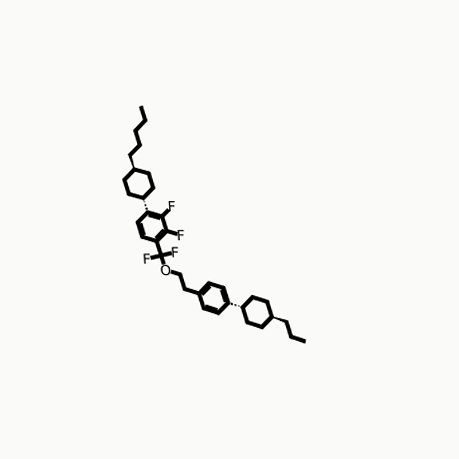 CCCCC[C@H]1CC[C@H](c2ccc(C(F)(F)OCCc3ccc([C@H]4CC[C@H](CCC)CC4)cc3)c(F)c2F)CC1